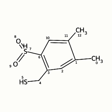 Cc1cc(CS)c([SH](=O)=O)cc1C